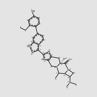 CCc1cc(O)ccc1-c1ccc2c(-c3nc4c([nH]3)CN3C(C)C5C(N(C)C)CN5C(=O)[C@@H]3C4)n[nH]c2c1